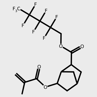 C=C(C)C(=O)OC1CC2CC(C(=O)OCC(F)(F)C(F)(F)C(F)(F)C(F)(F)F)C1C2